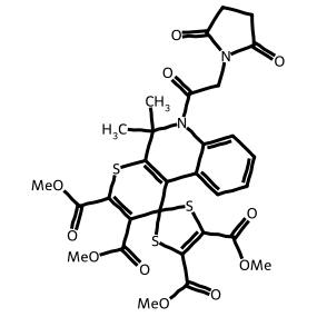 COC(=O)C1=C(C(=O)OC)SC2(S1)C(C(=O)OC)=C(C(=O)OC)SC1=C2c2ccccc2N(C(=O)CN2C(=O)CCC2=O)C1(C)C